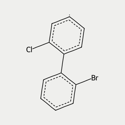 Clc1c[c]ccc1-c1ccccc1Br